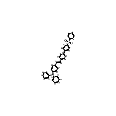 O=S(=O)(c1ccccc1)c1ccc(-c2ccc(C=Cc3ccc(N(c4ccccc4)c4ccccc4)cc3)cc2)cc1